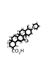 CC1C(N2CCCC2)CCC2(C)C1CCC1(C)C3CCC4(C)CCC(C(=O)O)CC4C3=CC(=O)C12